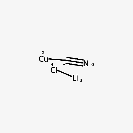 N#[C][Cu].[Li][Cl]